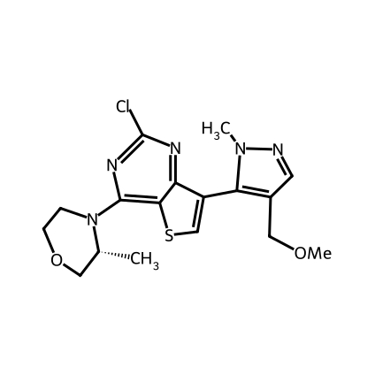 COCc1cnn(C)c1-c1csc2c(N3CCOC[C@H]3C)nc(Cl)nc12